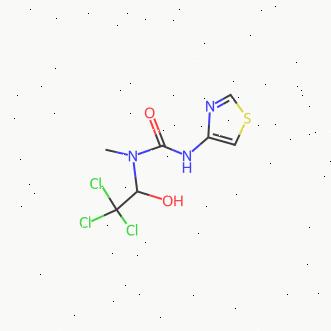 CN(C(=O)Nc1cscn1)C(O)C(Cl)(Cl)Cl